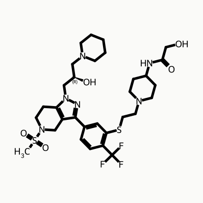 CS(=O)(=O)N1CCc2c(c(-c3ccc(C(F)(F)F)c(SCCN4CCC(NC(=O)CO)CC4)c3)nn2C[C@H](O)CN2CCCCC2)C1